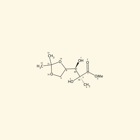 COC(=O)[C@@](C)(O)[C@H](O)C1COC(C)(C)O1